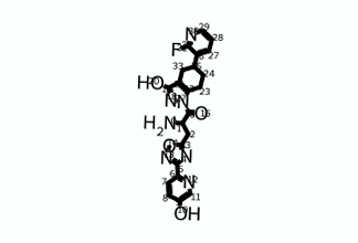 NC(Cc1nc(-c2ccc(O)cn2)no1)C(=O)n1nc(O)c2c1CCC(c1cccnc1F)C2